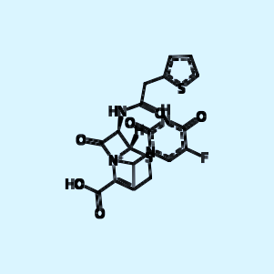 O=C(Cc1cccs1)N[C@@H]1C(=O)[N+]23C(C(=O)O)=C(CS[C@@H]12)C3n1cc(F)c(=O)[nH]c1=O